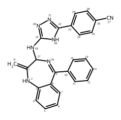 C=C1Nc2ccccc2C(c2ccccc2)=NC1Nc1nnc(-c2ccc(C#N)cc2)[nH]1